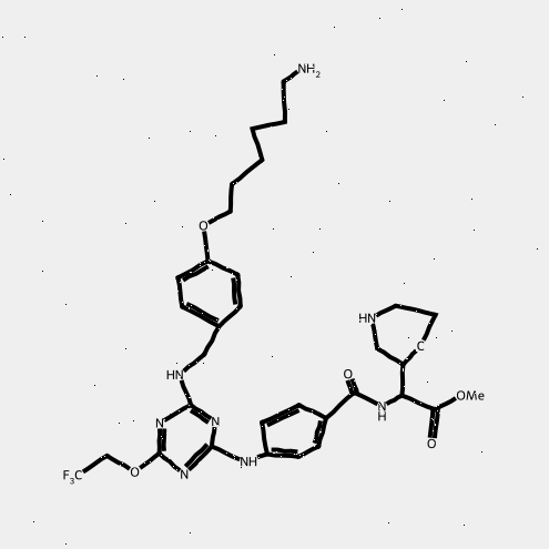 COC(=O)C(NC(=O)c1ccc(Nc2nc(NCc3ccc(OCCCCCCN)cc3)nc(OCC(F)(F)F)n2)cc1)C1CCCNC1